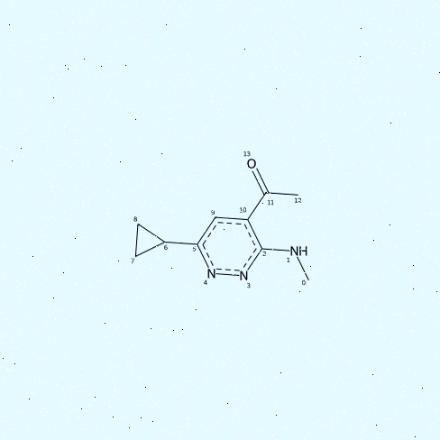 CNc1nnc(C2CC2)cc1C(C)=O